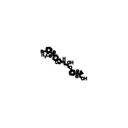 Cc1c(Br)cccc1S(=O)(=O)N1CCC2(CC1)C[C@@H](NC[C@H](O)COc1cccc(S(=O)(=O)C3(CO)CC3)c1)CO2